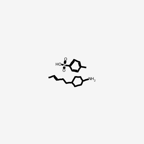 C/C=C/CCC1CCC(N)CC1.Cc1ccc(S(=O)(=O)O)cc1